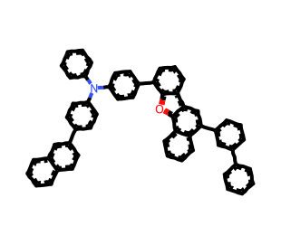 c1ccc(-c2cccc(-c3cc4c5cccc(-c6ccc(N(c7ccccc7)c7ccc(-c8ccc9ccccc9c8)cc7)cc6)c5oc4c4ccccc34)c2)cc1